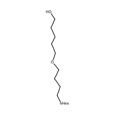 CCCCCCCCCCOCCCCCO